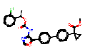 COC(=O)C1(c2ccc(-c3ccc(-c4ocnc4NC(=O)O[C@H](C)c4ccccc4Cl)cc3)cc2)CC1